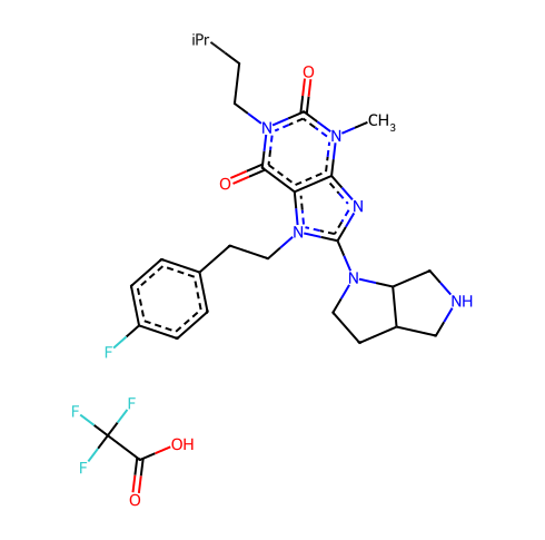 CC(C)CCn1c(=O)c2c(nc(N3CCC4CNCC43)n2CCc2ccc(F)cc2)n(C)c1=O.O=C(O)C(F)(F)F